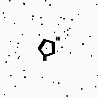 I.c1cc[nH]c1